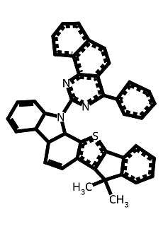 CC1(C)c2ccccc2-c2sc3c(c21)C=CC1C2C=CC=CC2N(c2nc(-c4ccccc4)c4ccc5ccccc5c4n2)C31